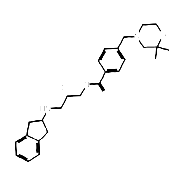 CC1(C)CN(Cc2ccc(C(=O)NC[C@@H](O)CNC3Cc4ccccc4C3)cc2)CCO1